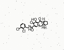 O=C(NCc1cccc(Cl)c1Cl)c1cn2c(c(O)c1=O)C(=O)N1[C@H]3CC[C@H](C3)[C@@H]1C2